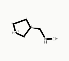 ClNC[C@@H]1CCNC1